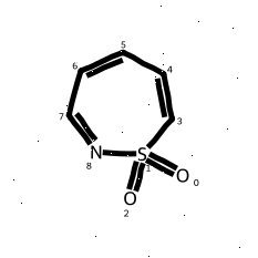 O=S1(=O)C=CC=C[C]=N1